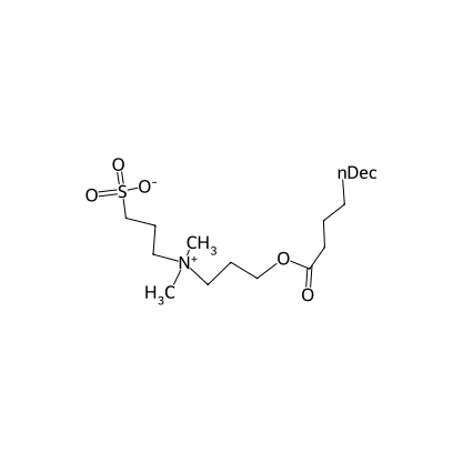 CCCCCCCCCCCCCC(=O)OCCC[N+](C)(C)CCCS(=O)(=O)[O-]